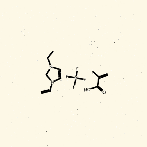 C=C(C)C(=O)O.C=CN1C=CN(CC)C1.F[B-](F)(F)F